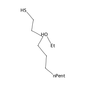 CCCCCCCCCCCS.CCO